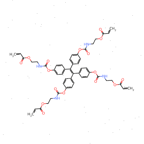 C=CC(=O)OCCNC(=O)Oc1ccc(C(=C(c2ccc(OC(=O)NCCOC(=O)C=C)cc2)c2ccc(OC(=O)NCCOC(=O)C=C)cc2)c2ccc(OC(=O)NCCOC(=O)C=C)cc2)cc1